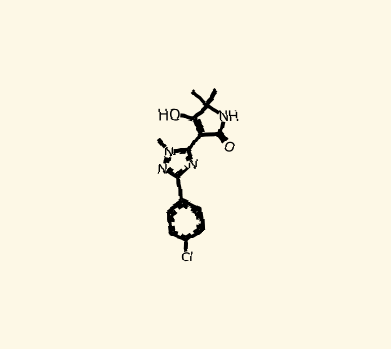 Cn1nc(-c2ccc(Cl)cc2)nc1C1=C(O)C(C)(C)NC1=O